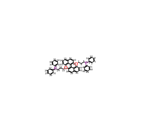 c1ccc(P(CCCOc2ccc3ccccc3c2-c2c(OCCCP(c3ccccc3)c3ccccc3)ccc3ccccc23)c2ccccc2)cc1